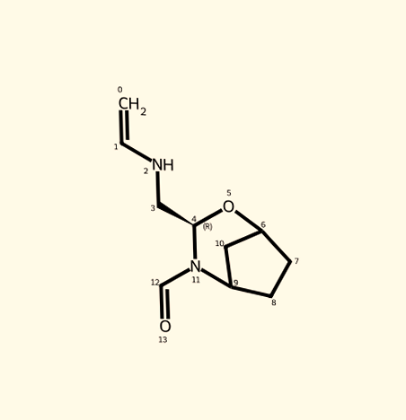 C=CNC[C@H]1OC2CCC(C2)N1C=O